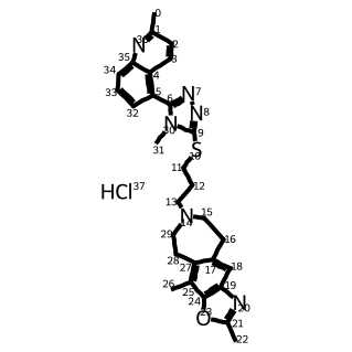 Cc1ccc2c(-c3nnc(SCCCN4CCc5cc6nc(C)oc6c(C)c5CC4)n3C)cccc2n1.Cl